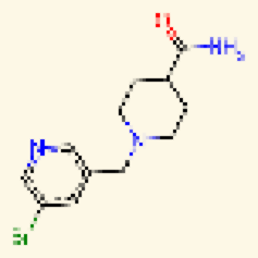 NC(=O)C1CCN(Cc2cncc(Br)c2)CC1